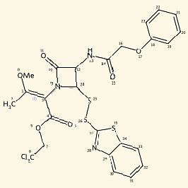 CO/C(C)=C(/C(=O)OCC(Cl)(Cl)Cl)N1C(=O)C(NC(=O)COc2ccccc2)C1SSc1nc2ccccc2s1